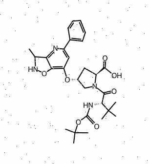 CC1NOc2c(O[C@@H]3C[C@@H](C(=O)O)N(C(=O)[C@@H](NC(=O)OC(C)(C)C)C(C)(C)C)C3)cc(-c3ccccc3)nc21